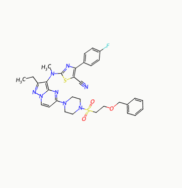 CCc1nn2ccc(N3CCN(S(=O)(=O)CCOCc4ccccc4)CC3)nc2c1N(C)c1nc(-c2ccc(F)cc2)c(C#N)s1